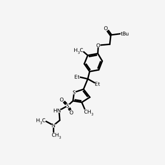 CCC(CC)(c1ccc(OCC(=O)C(C)(C)C)c(C)c1)c1cc(C)c(S(=O)(=O)NCN(C)C)s1